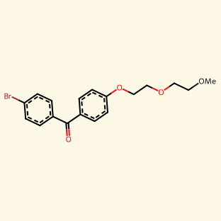 COCCOCCOc1ccc(C(=O)c2ccc(Br)cc2)cc1